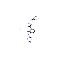 Cc1nn(C2CCC(=O)NC2=O)c2cccc(-c3cnn(CC4C5CNCC54)c3)c12